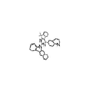 CC1(C)c2ccccc2-c2c(-c3ccc4ncccc4c3)nc(-n3c4ccccc4c4cc5ccccc5cc43)nc21